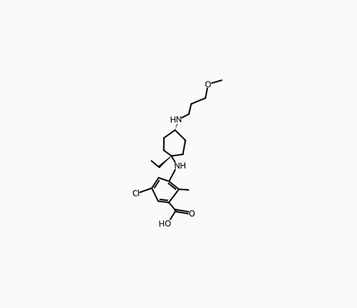 CC[C@]1(Nc2cc(Cl)cc(C(=O)O)c2C)CC[C@@H](NCCCOC)CC1